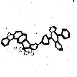 CC1(C)c2ccc(-c3ccc(-c4c5ccccc5c(-c5ccccc5)c5ccccc45)cc3)cc2-c2cc3ccc4oc5ccccc5c4c3cc21